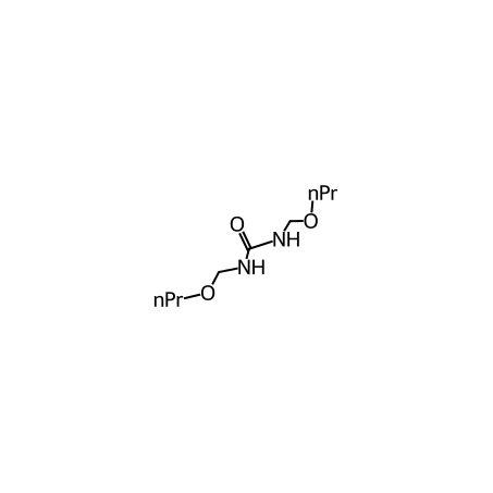 CCCOCNC(=O)NCOCCC